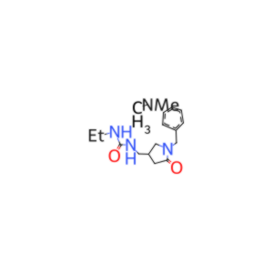 CCNC(=O)NCC1CC(=O)N(Cc2ccccc2)C1.CNC